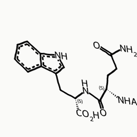 CC(=O)N[C@@H](CCC(N)=O)C(=O)N[C@@H](Cc1c[nH]c2ccccc12)C(=O)O